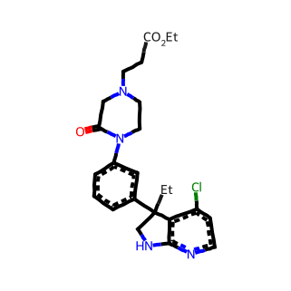 CCOC(=O)CCN1CCN(c2cccc(C3(CC)CNc4nccc(Cl)c43)c2)C(=O)C1